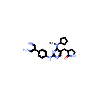 CN(c1nc(Nc2ccc(/C(C=N)=C/N)cc2)ncc1CC1CCNC1=O)C1CCCC1